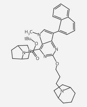 Cn1cc(-c2cccc3ccccc23)c2nc(OCCCN3C4CCCC3CC4)nc(N3CC4CCC(C3)N4C(=O)OC(C)(C)C)c21